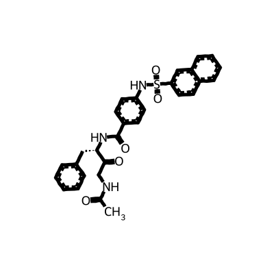 CC(=O)NCC(=O)[C@H](Cc1ccccc1)NC(=O)c1ccc(NS(=O)(=O)c2ccc3ccccc3c2)cc1